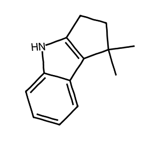 CC1(C)CCc2[nH]c3ccccc3c21